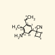 C=Cc1cc(C2(C#N)CCC2)cc(N)c1C